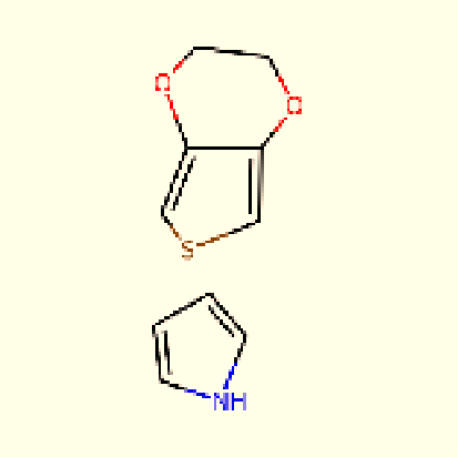 c1cc[nH]c1.c1scc2c1OCCO2